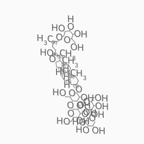 C[C@H](CC[C@@]1(O)OC2C[C@H]3[C@@H]4CC[C@H]5C[C@@H](OC6OC(CO)C(OC7OC(CO)C(O)C(OC8OCC(O)C(O)C8O)C7OC7OC(CO)C(O)C(O)C7O)C(O)C6O)CC[C@]5(C)[C@H]4CC[C@]3(C)C2[C@@H]1C)COC1OC(CO)C(O)C(O)C1O